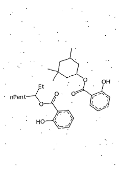 CC1CC(OC(=O)c2ccccc2O)CC(C)(C)C1.CCCCCC(CC)OC(=O)c1ccccc1O